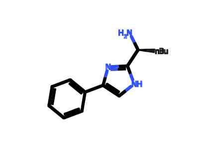 CCCC[C@H](N)c1nc(-c2ccccc2)c[nH]1